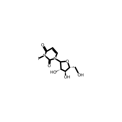 O=c1ccn(C2O[C@H](CO)[C@@H](O)[C@@H]2O)c(=O)n1I